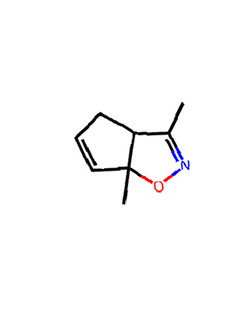 CC1=NOC2(C)C=CCC12